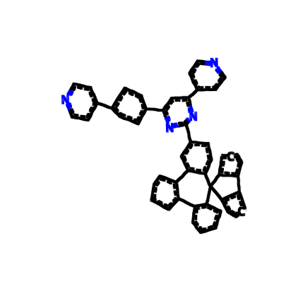 c1ccc2c(c1)-c1ccccc1C1(c3ccc(-c4nc(-c5ccncc5)cc(-c5ccc(-c6ccncc6)cc5)n4)cc3-2)c2ccccc2-c2ccccc21